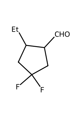 CCC1CC(F)(F)CC1C=O